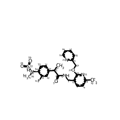 CC(C(=O)NCc1ccc(C(F)(F)F)nc1OCc1ccccn1)c1ccc(N(C)[SH](=O)=O)c(F)c1